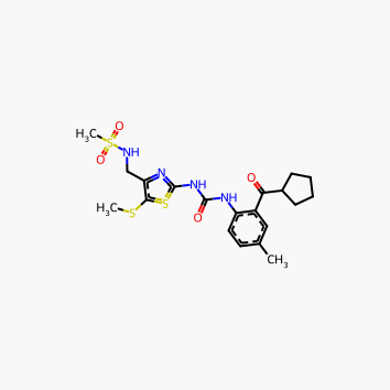 CSc1sc(NC(=O)Nc2ccc(C)cc2C(=O)C2CCCC2)nc1CNS(C)(=O)=O